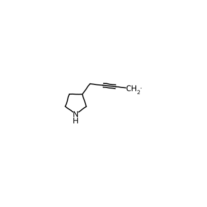 [CH2]C#CCC1CCNC1